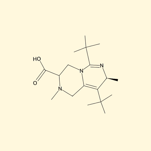 C[C@@H]1N=C(C(C)(C)C)N2CC(C(=O)O)N(C)CC2=C1C(C)(C)C